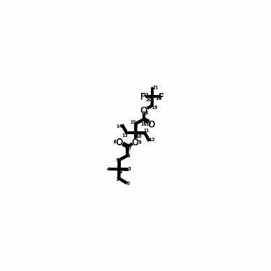 CCC(C)(C)CCC(=O)OC(CC)(CC)CC(=O)OCC(C)(F)F